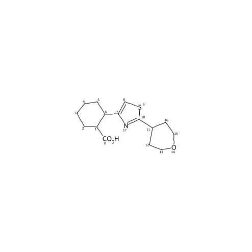 O=C(O)C1CCCCC1c1csc(C2CCOCC2)n1